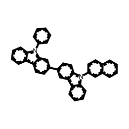 c1ccc(-n2c3ccccc3c3ccc(-c4ccc5c(c4)c4ccccc4n5-c4ccc5ccccc5c4)cc32)cc1